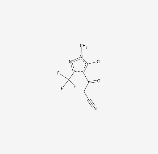 Cn1nc(C(F)(F)F)c(C(=O)CC#N)c1Cl